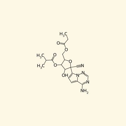 CCC(=O)OCC1OC(C#N)(c2ccc3c(N)ncnn23)C(O)C1OC(=O)C(C)C